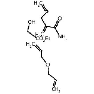 C=CCC(=C)C(N)=O.C=CCOCC=C.CCOC(=O)CO